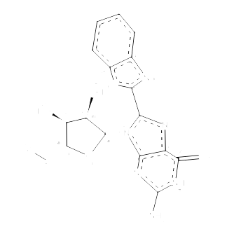 Nc1nc2c(nc(-c3nc4ccccc4s3)n2[C@@H]2O[C@H](CO)[C@@H](O)[C@H]2O)c(=S)[nH]1